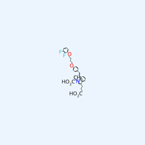 CC(C(=O)O)n1cc(CCCC(=O)O)c2cccc(/C=C/c3ccc(OCCCCOc4cccc(F)c4F)cc3)c21